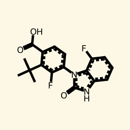 CC(C)(C)c1c(C(=O)O)ccc(-n2c(=O)[nH]c3cccc(F)c32)c1F